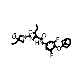 CCc1oc(N2CC(CC)(OC)C2)nc1C(=O)Nc1cc(F)c(OC2CC3CC(C3)C2)c(F)c1